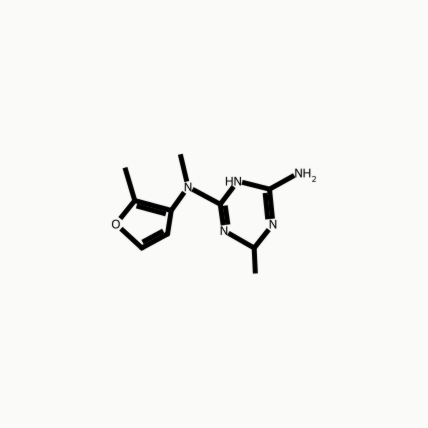 Cc1occc1N(C)C1=NC(C)N=C(N)N1